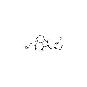 CC(C)(C)OC(=O)[C@@H]1CCCc2nn(Cc3cccc(Cl)n3)c(=O)n21